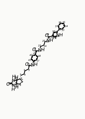 O=C(CCCC[C@@H]1SC[C@@H]2NC(=O)N[C@@H]21)Nc1ccc(C(=O)NCCCNC(=O)c2cc(-c3ccccc3)[nH]n2)cc1